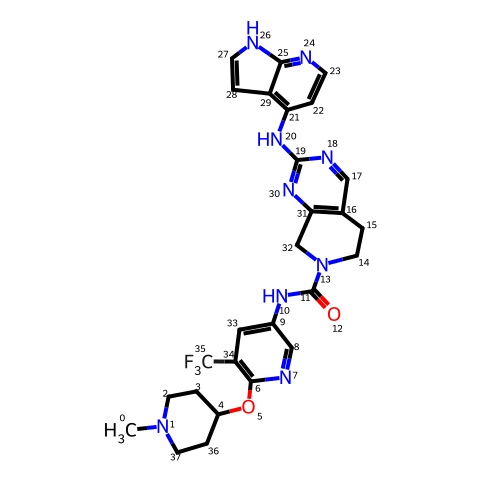 CN1CCC(Oc2ncc(NC(=O)N3CCc4cnc(Nc5ccnc6[nH]ccc56)nc4C3)cc2C(F)(F)F)CC1